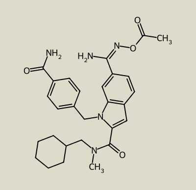 CC(=O)O/N=C(/N)c1ccc2cc(C(=O)N(C)CC3CCCCC3)n(Cc3ccc(C(N)=O)cc3)c2c1